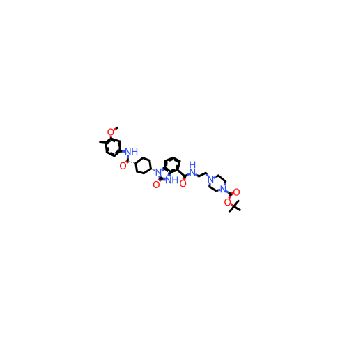 COc1cc(NC(=O)[C@H]2CC[C@@H](n3c(=O)[nH]c4c(C(=O)NCCN5CCN(C(=O)OC(C)(C)C)CC5)cccc43)CC2)ccc1C